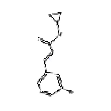 O=C(/C=C/c1cncc(Br)c1)NC1CC1